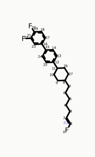 F/C=C/CCCCCC1CCC(c2ccc(-c3ccc(F)c(F)c3)cc2)CC1